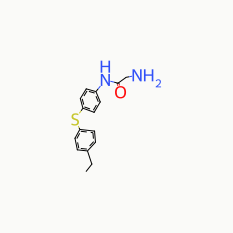 CCc1ccc(Sc2ccc(NC(=O)CN)cc2)cc1